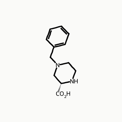 O=C(O)[C@@H]1CN(Cc2ccccc2)CCN1